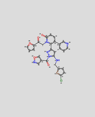 O=C(Cn1c(-c2cc(NCc3ccc(Cl)s3)n(C(=O)c3cnoc3)n2)c(-c2cccnc2)ccc1=O)c1ccco1